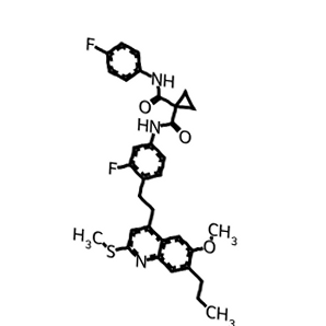 CCCc1cc2nc(SC)cc(CCc3ccc(NC(=O)C4(C(=O)Nc5ccc(F)cc5)CC4)cc3F)c2cc1OC